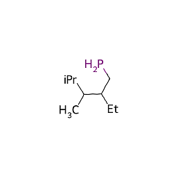 CCC(CP)C(C)C(C)C